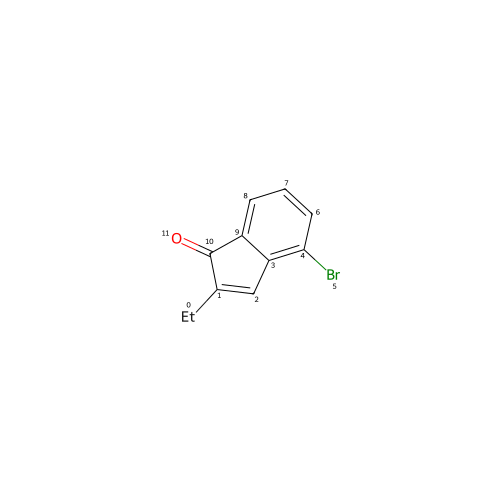 CCC1=Cc2c(Br)cccc2C1=O